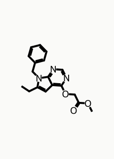 CCc1cc2c(OCC(=O)OC)ncnc2n1Cc1ccccc1